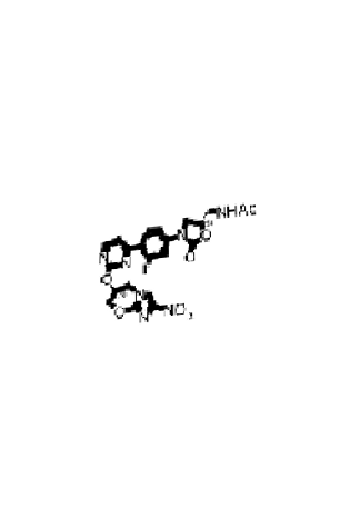 CC(=O)NC[C@H]1CN(c2ccc(-c3ccnc(O[C@@H]4COc5nc([N+](=O)[O-])cn5C4)n3)c(F)c2)C(=O)O1